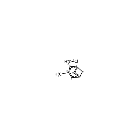 CCl.Cc1cc2cc(c1)C2